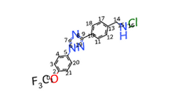 FC(F)(F)Oc1ccc(-n2cnc(-c3ccc(CNCl)cc3)n2)cc1